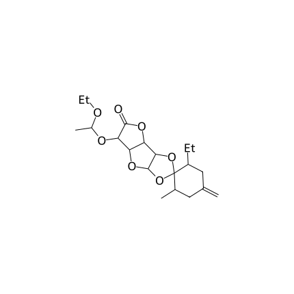 C=C1CC(C)C2(OC3OC4C(OC(C)OCC)C(=O)OC4C3O2)C(CC)C1